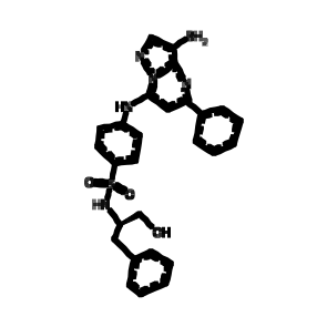 Bc1cnn2c(Nc3ccc(S(=O)(=O)N[C@@H](CO)Cc4ccccc4)cc3)cc(-c3ccccc3)nc12